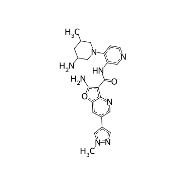 CC1CC(N)CN(c2ccncc2NC(=O)c2c(N)oc3cc(-c4cnn(C)c4)cnc23)C1